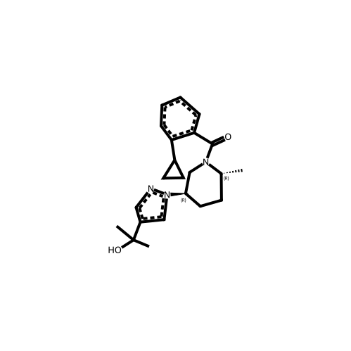 C[C@@H]1CC[C@@H](n2cc(C(C)(C)O)cn2)CN1C(=O)c1ccccc1C1CC1